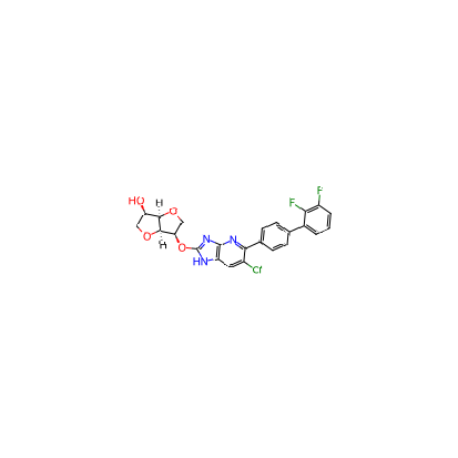 O[C@@H]1CO[C@H]2[C@@H]1OC[C@H]2Oc1nc2nc(-c3ccc(-c4cccc(F)c4F)cc3)c(Cl)cc2[nH]1